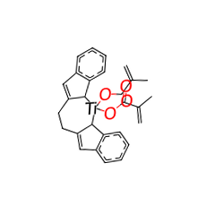 C=C(C)C(=O)[O][Ti]1([O]C(=O)C(=C)C)[CH]2C(=Cc3ccccc32)CCC2=Cc3ccccc3[CH]21